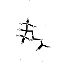 CC(=O)NCCC(O)(P(=O)(O)O)P(=O)(O)O